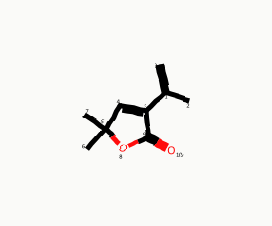 C=C(C)C1=CC(C)(C)OC1=O